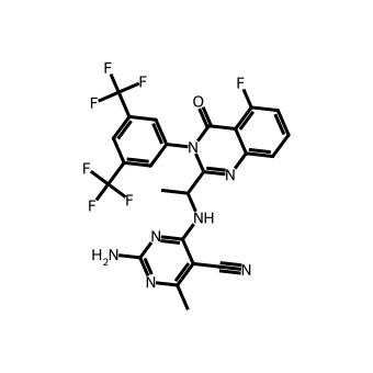 Cc1nc(N)nc(NC(C)c2nc3cccc(F)c3c(=O)n2-c2cc(C(F)(F)F)cc(C(F)(F)F)c2)c1C#N